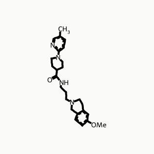 COc1ccc2c(c1)CCN(CCCNC(=O)C1CCN(c3ccc(C)cn3)CC1)C2